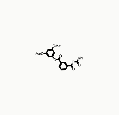 CCCC(=O)OC(=O)c1cccc(C(=O)Oc2cc(OC)cc(OC)c2)c1